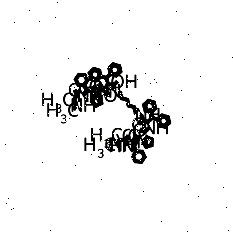 CN[C@@H](C)C(=O)NC(C(=O)N1CCC[C@H]1C(=O)N[C@H](C(O)NCCCCCCNC(=O)[C@@H](NC(=O)[C@@H]1CCCN1C(=O)C(NC(=O)[C@H](C)NC)C1CCCCC1)C(c1ccccc1)c1ccccc1)C(c1ccccc1)c1ccccc1)C1CCCCC1